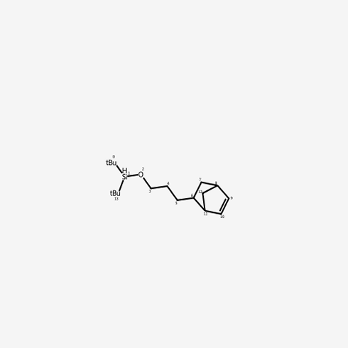 CC(C)(C)[SiH](OCCCC1CC2C=CC1C2)C(C)(C)C